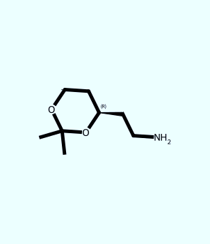 CC1(C)O[CH]C[C@@H](CCN)O1